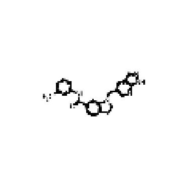 O=C(Nc1cccc(C(F)(F)F)c1)c1ccc2c(c1)N(Cc1cnc3[nH]ncc3c1)CC2